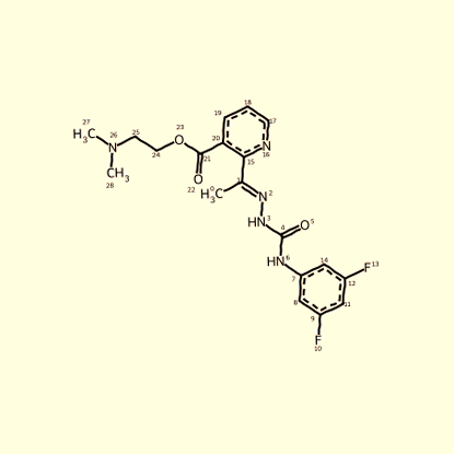 C/C(=N\NC(=O)Nc1cc(F)cc(F)c1)c1ncccc1C(=O)OCCN(C)C